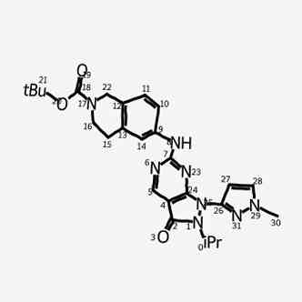 CC(C)n1c(=O)c2cnc(Nc3ccc4c(c3)CCN(C(=O)OC(C)(C)C)C4)nc2n1-c1ccn(C)n1